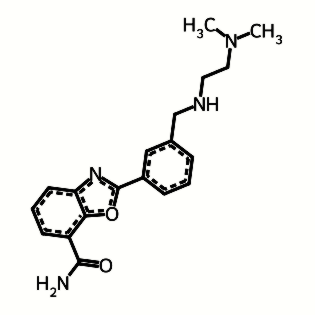 CN(C)CCNCc1cccc(-c2nc3cccc(C(N)=O)c3o2)c1